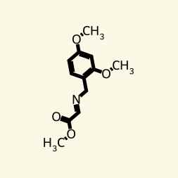 COC(=O)C=NCc1ccc(OC)cc1OC